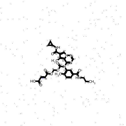 CCCNC(=O)c1ccc(C)c(N(C(=O)OCOC(=O)/C=C/C(=O)O)c2ncnn3cc(C(=O)NC4CC4)c(C)c23)c1